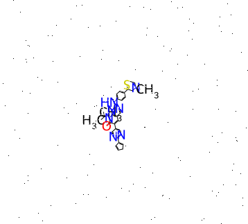 CC(C)n1c(=O)c(-c2cnc(C3=CCC=C3)nc2)cc2cnc(Nc3ccc(C4CN(C)CCS4)cc3)nc21